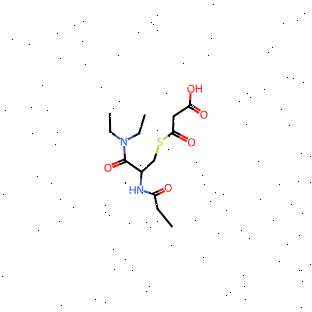 CCC(=O)NC(CSC(=O)CC(=O)O)C(=O)N(CC)CC